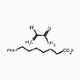 C=C(CC)C(N)=O.CCCCCCCCCCCCCCCC(=O)O